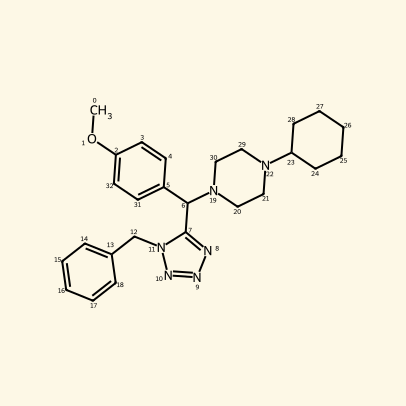 COc1ccc(C(c2nnnn2Cc2ccccc2)N2CCN(C3CCCCC3)CC2)cc1